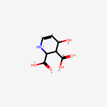 O=C(O)C1NC=CC(O)C1C(=O)O